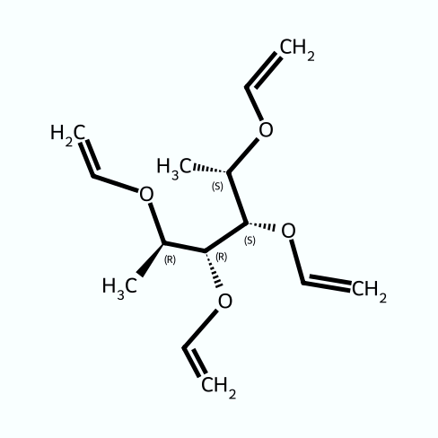 C=CO[C@H]([C@H](OC=C)[C@@H](C)OC=C)[C@H](C)OC=C